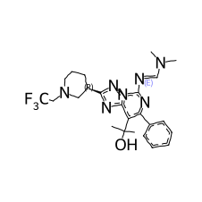 CN(C)/C=N/c1nc(-c2ccccc2)c(C(C)(C)O)c2nc([C@@H]3CCCN(CC(F)(F)F)C3)nn12